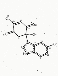 O=C1CC(Cl)(c2c[nH]c3ccc(Br)cc23)C(=O)C=C1Cl